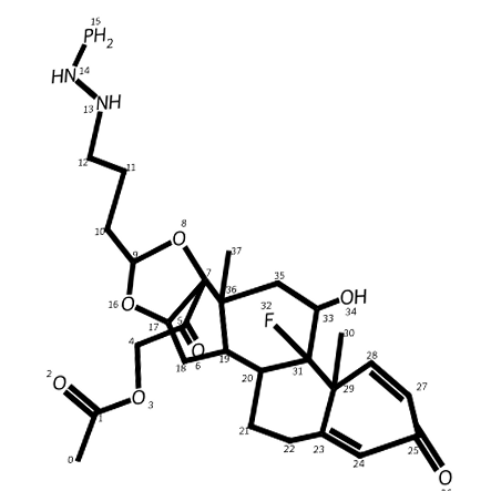 CC(=O)OCC(=O)C12OC(CCCNNP)OC1CC1C3CCC4=CC(=O)C=CC4(C)C3(F)C(O)CC12C